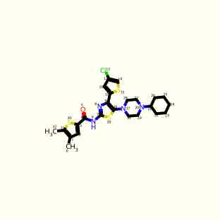 Cc1cc(C(=O)Nc2nc(-c3cc(Cl)cs3)c(N3CCN(C4CCCCC4)CC3)s2)sc1C